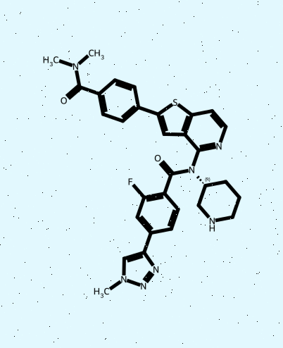 CN(C)C(=O)c1ccc(-c2cc3c(N(C(=O)c4ccc(-c5cn(C)nn5)cc4F)[C@@H]4CCCNC4)nccc3s2)cc1